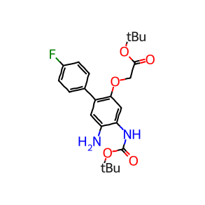 CC(C)(C)OC(=O)COc1cc(NC(=O)OC(C)(C)C)c(N)cc1-c1ccc(F)cc1